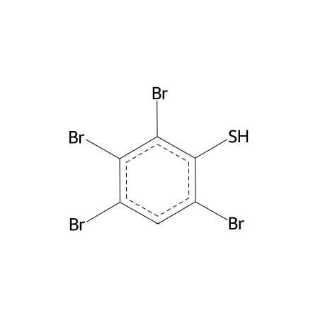 Sc1c(Br)cc(Br)c(Br)c1Br